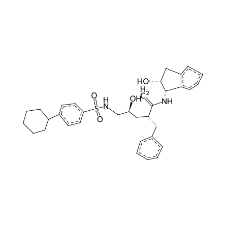 C=C(N[C@H]1c2ccccc2C[C@H]1O)[C@H](Cc1ccccc1)C[C@H](O)CNS(=O)(=O)c1ccc(C2CCCCC2)cc1